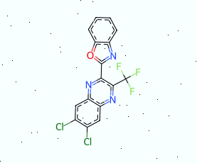 FC(F)(F)c1nc2cc(Cl)c(Cl)cc2nc1-c1nc2ccccc2o1